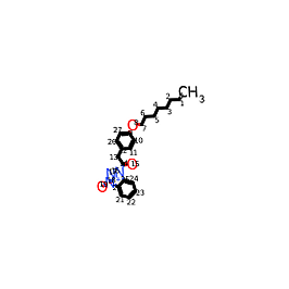 CCCCCCCCOc1ccc(CC(=O)n2n[n+]([O-])c3ccccc32)cc1